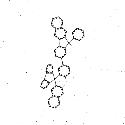 CC1(c2ccccc2)c2cc(-c3ccc4c(c3)C3(c5cc6ccccc6cc5O4)c4ccccc4-c4ccccc43)ccc2-c2cc3ccccc3cc21